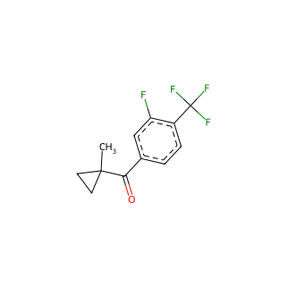 CC1(C(=O)c2ccc(C(F)(F)F)c(F)c2)CC1